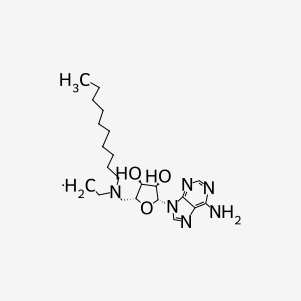 [CH2]CN(CCCCCCCCCC)C[C@H]1O[C@@H](n2cnc3c(N)ncnc32)[C@H](O)[C@@H]1O